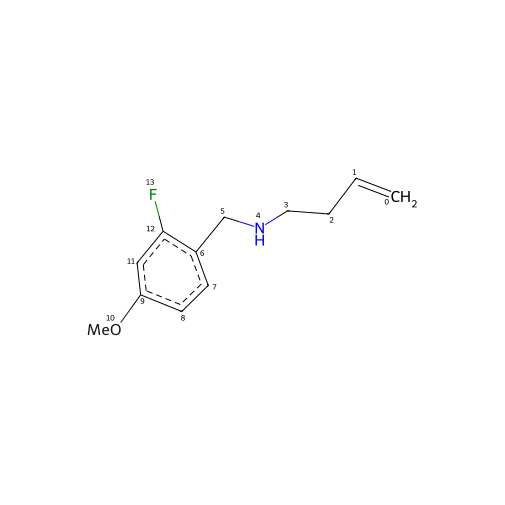 C=CCCNCc1ccc(OC)cc1F